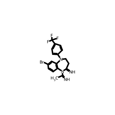 CC(=N)N1C(=N)CCN(c2ccc(C(F)(F)F)cc2)c2cc(Br)ccc21